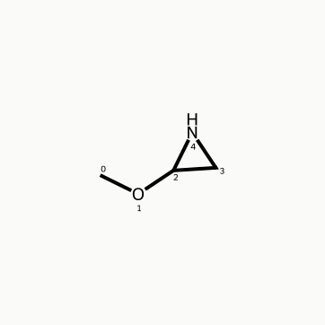 COC1CN1